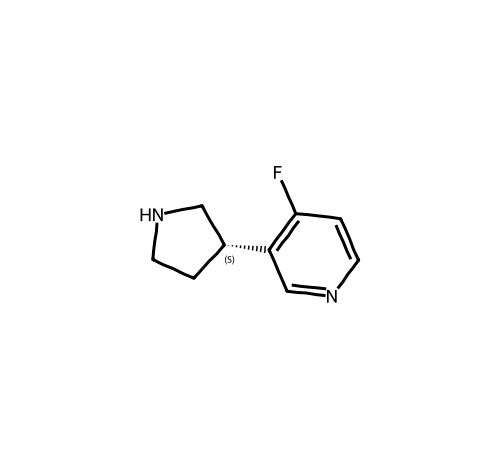 Fc1ccncc1[C@@H]1CCNC1